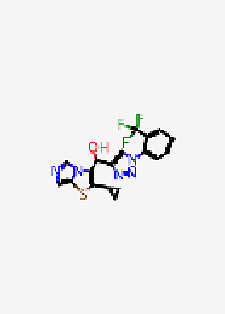 OC(c1cn(-c2ccccc2C(F)(F)F)nn1)c1c(C2CC2)sc2cncn12